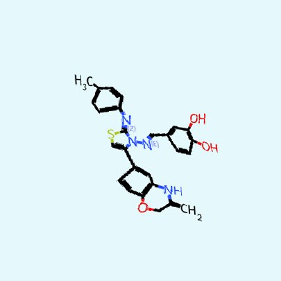 C=C1COc2ccc(-c3cs/c(=N\c4ccc(C)cc4)n3/N=C/c3ccc(O)c(O)c3)cc2N1